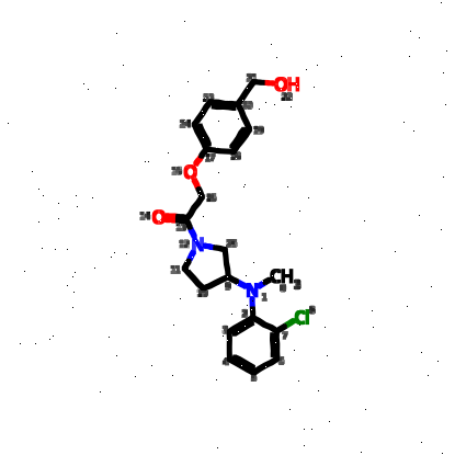 CN(c1ccccc1Cl)C1CCN(C(=O)COc2ccc(CO)cc2)C1